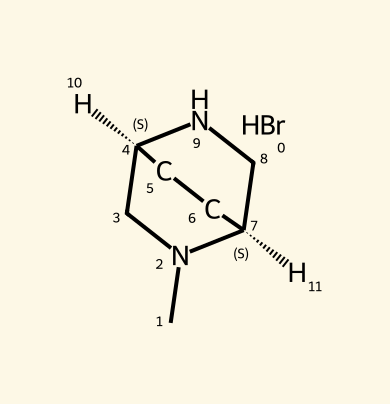 Br.CN1C[C@@H]2CC[C@H]1CN2